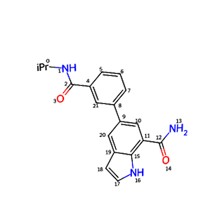 CC(C)NC(=O)c1cccc(-c2cc(C(N)=O)c3[nH]ccc3c2)c1